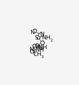 Cc1noc(C)c1NC(=O)Nc1cccc(-c2csc3c(-c4cccnc4)cnc(N)c23)c1